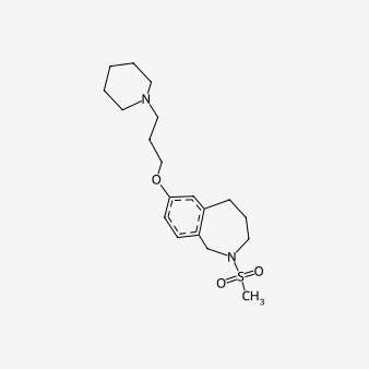 CS(=O)(=O)N1CCCc2cc(OCCCN3CCCCC3)ccc2C1